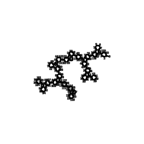 Cc1ccc(-n2c3ccccc3c3cc(-c4ccc5c(c4)c4cc(-c6ccc7c(c6)c6ccccc6n7-c6ccccc6)ccc4n5-c4ccc(-c5cccc6c5oc5ccc(-c7cccc(-n8c9ccccc9c9cc(-c%10ccc%11c(c%10)c%10cc(-c%12ccc%13c(c%12)c%12ccccc%12n%13-c%12ccccc%12)ccc%10n%11-c%10ccc(-c%11ccc%12oc%13ccccc%13c%12c%11)cc%10)ccc98)c7)cc56)cc4)ccc32)cc1